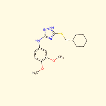 COc1ccc(Nc2n[nH]c(SCC3CCCCC3)n2)cc1OC